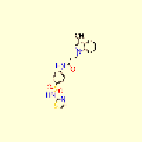 Cc1cn(CCC(=O)Nc2ccc(S(=O)(=O)Nc3nccs3)cc2)c2ccccc12